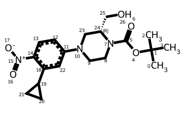 CC(C)(C)OC(=O)N1CCN(c2ccc([N+](=O)[O-])c(C3CC3)c2)C[C@@H]1CO